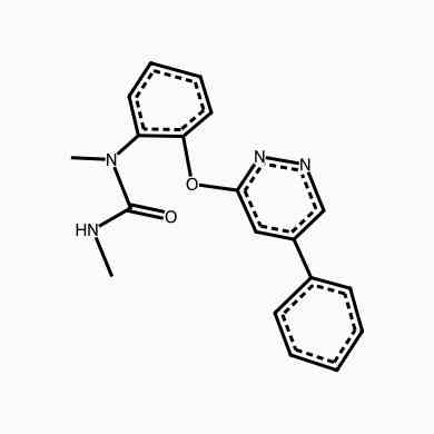 CNC(=O)N(C)c1ccccc1Oc1cc(-c2ccccc2)cnn1